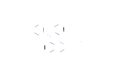 SCCc1ccc2cccc(N(c3ccccc3)c3ccccc3)c2n1